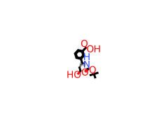 CC(C)(C)OC(=O)N[C@H](CCO)c1cccc(C(=O)O)c1